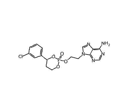 Nc1ncnc2c1ncn2CCOP1(=O)OCCC(c2cccc(Cl)c2)O1